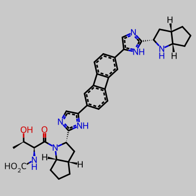 C[C@@H](O)[C@H](NC(=O)O)C(=O)N1[C@H](c2ncc(-c3ccc4c(c3)-c3ccc(-c5cnc([C@@H]6C[C@@H]7CCC[C@@H]7N6)[nH]5)cc3-4)[nH]2)C[C@@H]2CCC[C@@H]21